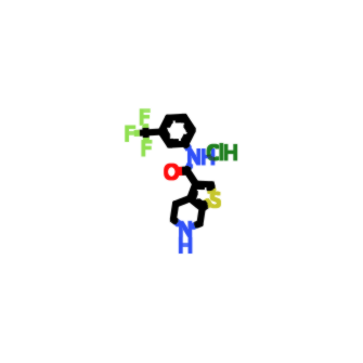 Cl.O=C(Nc1cccc(C(F)(F)F)c1)c1csc2c1CCNC2